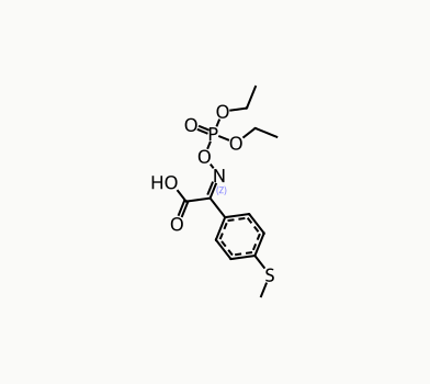 CCOP(=O)(OCC)O/N=C(\C(=O)O)c1ccc(SC)cc1